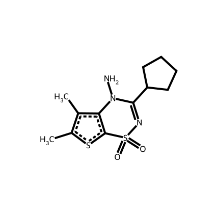 Cc1sc2c(c1C)N(N)C(C1CCCC1)=NS2(=O)=O